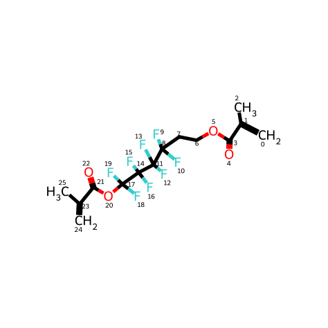 C=C(C)C(=O)OCCC(F)(F)C(F)(F)C(F)(F)C(F)(F)OC(=O)C(=C)C